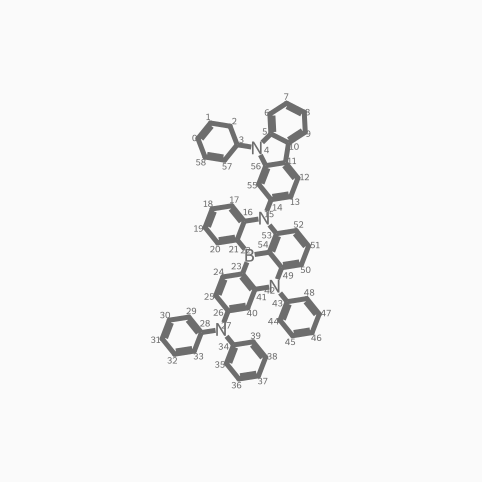 C1=CCC(n2c3ccccc3c3ccc(N4c5ccccc5B5c6ccc(N(c7ccccc7)c7ccccc7)cc6N(c6ccccc6)c6cccc4c65)cc32)C=C1